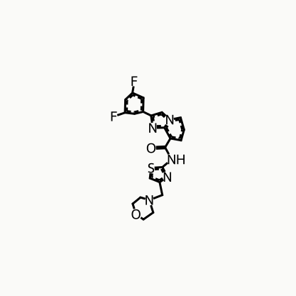 O=C(Nc1nc(CN2CCOCC2)cs1)c1cccn2cc(-c3cc(F)cc(F)c3)nc12